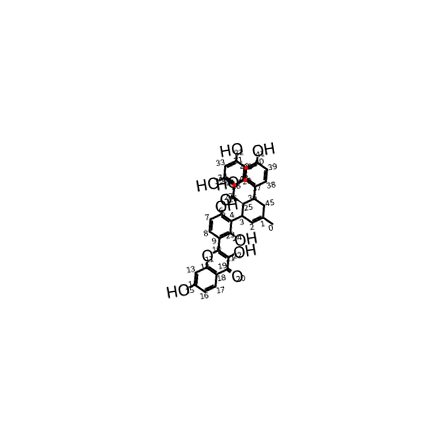 CC1=CC(c2c(O)ccc(-c3oc4cc(O)ccc4c(=O)c3O)c2O)[C@@H](C(=O)c2ccc(O)cc2O)C(c2ccc(O)cc2O)C1